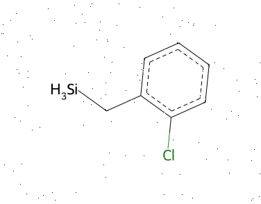 [SiH3]Cc1ccccc1Cl